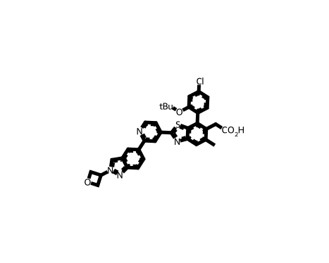 Cc1cc2nc(-c3ccnc(-c4ccc5nn(C6COC6)cc5c4)c3)sc2c(-c2ccc(Cl)cc2OC(C)(C)C)c1CC(=O)O